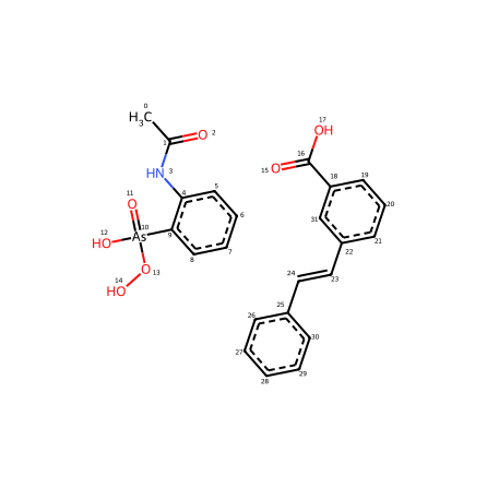 CC(=O)Nc1ccccc1[As](=O)(O)OO.O=C(O)c1cccc(C=Cc2ccccc2)c1